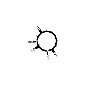 O=C1CCCCCC(=O)[N]([Rb])CC(=O)[N]([RaH])C1